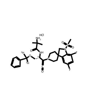 Cl.[2H]C([2H])(OC[C@H](NC(=O)C(C)(C)N)C(=C=O)N1CCC2(CC1)CN(S(C)(=O)=O)c1c(F)cc(F)cc12)c1ccccc1